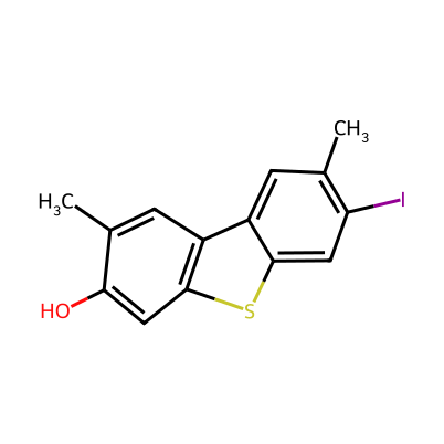 Cc1cc2c(cc1O)sc1cc(I)c(C)cc12